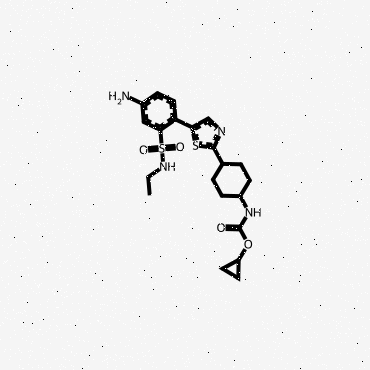 CCNS(=O)(=O)c1cc(N)ccc1-c1cnc(C2CCC(NC(=O)OC3CC3)CC2)s1